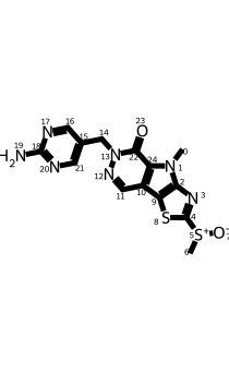 Cn1c2nc([S+](C)[O-])sc2c2cnn(Cc3cnc(N)nc3)c(=O)c21